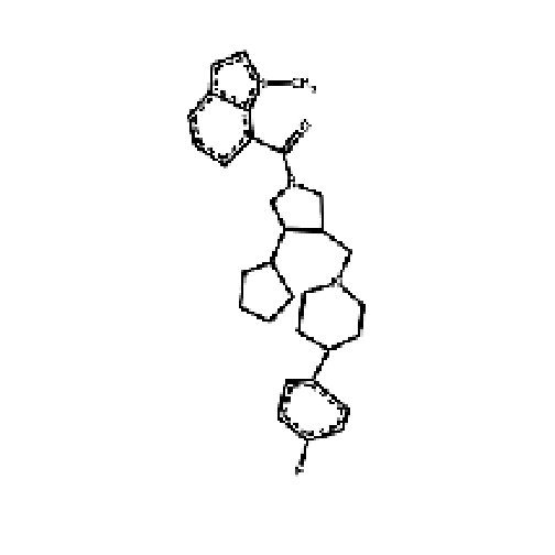 Cn1ccc2cccc(C(=O)N3CC(CN4CCC(c5ccc(F)cc5)CC4)C(C4CCCC4)C3)c21